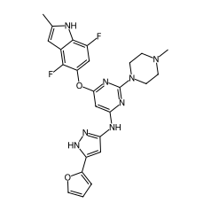 Cc1cc2c(F)c(Oc3cc(Nc4cc(-c5ccco5)[nH]n4)nc(N4CCN(C)CC4)n3)cc(F)c2[nH]1